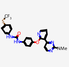 CNc1nccc(-c2cccnc2Oc2ccc(NC(=O)Nc3ccc(SC(F)(F)F)cc3)cc2)n1